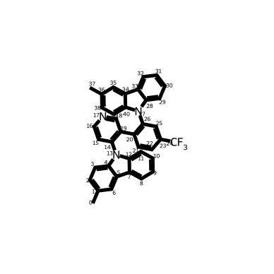 Cc1ccc2c(c1)c1ccccc1n2-c1ccncc1-c1ccc(C(F)(F)F)cc1-n1c2ccccc2c2cc(C)ccc21